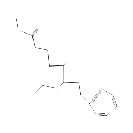 CCSC(CCc1ccccc1)C(O)CCCC(=O)OC